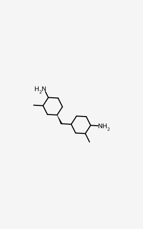 CC1CC(C[C@@H]2CCC(N)C(C)C2)CCC1N